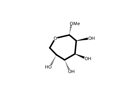 CO[C@H]1OC[C@@H](O)[C@@H](O)[C@H](O)[C@@H]1O